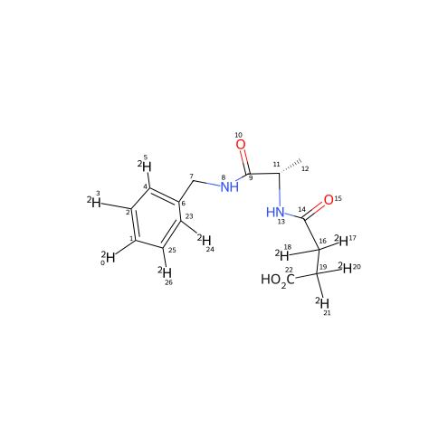 [2H]c1c([2H])c([2H])c(CNC(=O)[C@H](C)NC(=O)C([2H])([2H])C([2H])([2H])C(=O)O)c([2H])c1[2H]